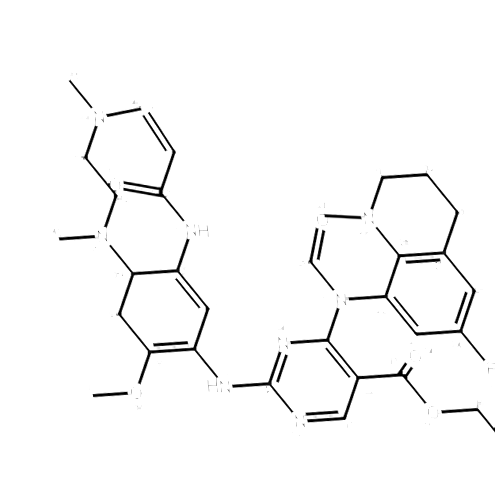 C=CC(=O)NC1=CC(Nc2ncc(C(=O)OCC)c(N(C=O)c3cc(F)cc4c3N(C)CCC4)n2)=C(OC)CC1N(C)CCN(C)C